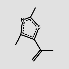 C=C(C)c1sc(C)nc1C